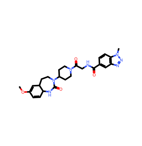 COC1=CC2CCN(C3CCN(C(=O)CNC(=O)c4ccc5c(c4)nnn5C)CC3)C(=O)NC2C=C1